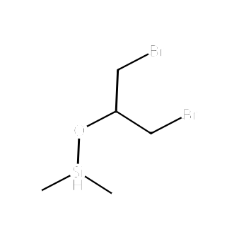 C[SiH](C)OC(CBr)CBr